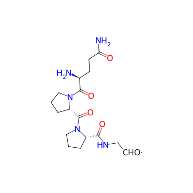 NC(=O)CC[C@H](N)C(=O)N1CCC[C@H]1C(=O)N1CCC[C@H]1C(=O)NC[C]=O